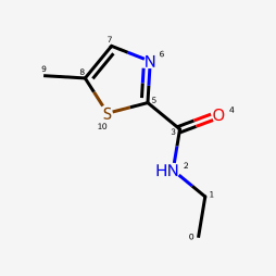 CCNC(=O)c1ncc(C)s1